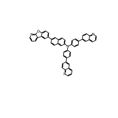 c1cnc2ccc(-c3ccc(N(c4ccc(-c5ccc6ncccc6c5)cc4)c4ccc5cc(-c6ccc7oc8ncccc8c7c6)ccc5c4)cc3)cc2c1